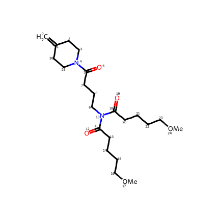 C=C1CCN(C(=O)CCCN(C(=O)CCCCOC)C(=O)CCCCOC)CC1